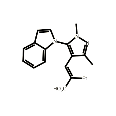 CC/C(=C\c1c(C)nn(C)c1-n1ccc2ccccc21)C(=O)O